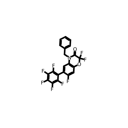 O=C1N(Cc2ccccc2)c2cc(-c3c(F)c(F)c(F)c(F)c3F)c(F)cc2OC1(F)F